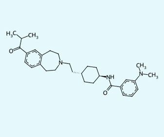 CC(C)C(=O)c1ccc2c(c1)CCN(CC[C@H]1CC[C@H](NC(=O)c3cccc(N(C)C)c3)CC1)CC2